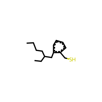 CCCCC(CC)Cc1ccccc1CS